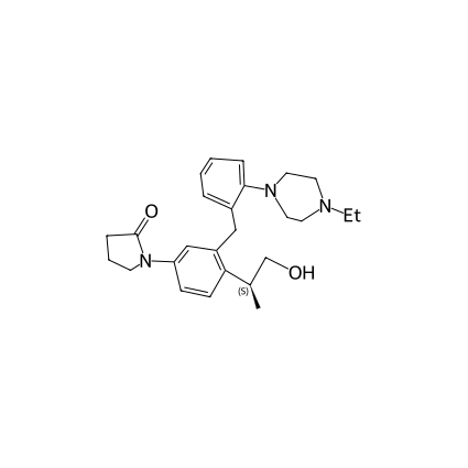 CCN1CCN(c2ccccc2Cc2cc(N3CCCC3=O)ccc2[C@H](C)CO)CC1